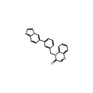 O=c1cnc2ccccc2n1Cc1cccc(-c2ccc3nccn3c2)c1